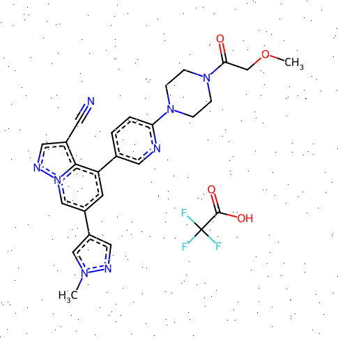 COCC(=O)N1CCN(c2ccc(-c3cc(-c4cnn(C)c4)cn4ncc(C#N)c34)cn2)CC1.O=C(O)C(F)(F)F